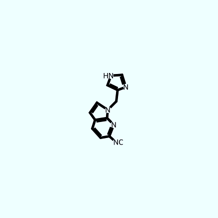 [C-]#[N+]c1ccc2ccn(Cc3c[nH]cn3)c2n1